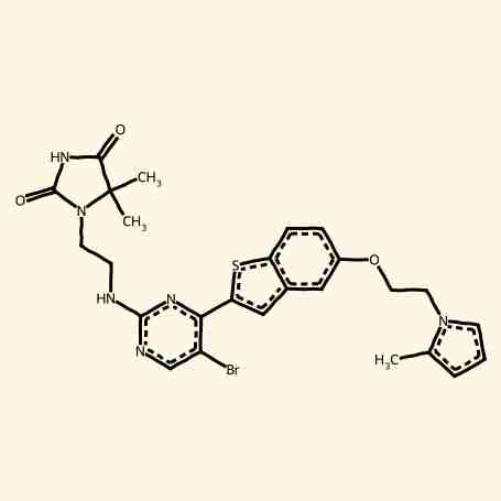 Cc1cccn1CCOc1ccc2sc(-c3nc(NCCN4C(=O)NC(=O)C4(C)C)ncc3Br)cc2c1